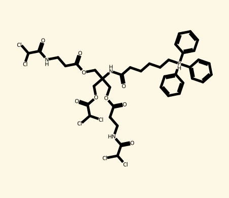 O=C(CCCCC[PH](c1ccccc1)(c1ccccc1)c1ccccc1)NC(COC(=O)CCNC(=O)C(Cl)Cl)(COC(=O)CCNC(=O)C(Cl)Cl)COC(=O)C(Cl)Cl